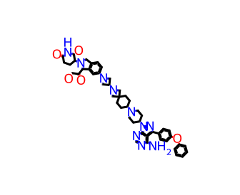 Nc1ncnc2c1c(-c1ccc(Oc3ccccc3)cc1)nn2C1CCN(C2CCC3(CC2)CN(C2CN(c4ccc5c(c4)C(C(=O)C=O)N(C4CCC(=O)NC4=O)C5)C2)C3)CC1